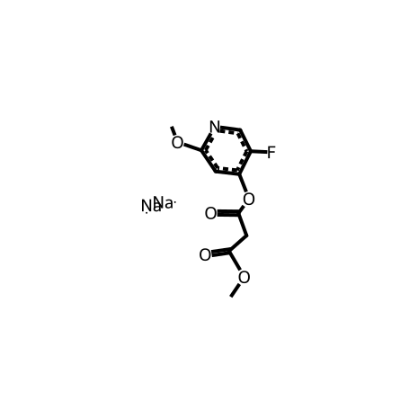 COC(=O)CC(=O)Oc1cc(OC)ncc1F.[Na].[Na]